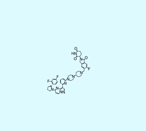 O=C1CCC(N2Cc3cc(CN4CCC(N5CCN(c6cccc(-c7cnn8ccc(N9CCC[C@@H]9c9ccc(F)cc9F)nc78)n6)CC5)CC4)c(F)cc3C2=O)C(=O)N1